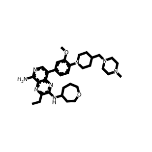 CCc1nc2c(N)ncc(-c3ccc(N4CCC(CN5CCN(C)CC5)CC4)c(OC)c3)c2nc1NC1CCCOCC1